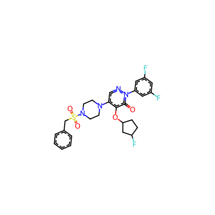 O=c1c(OC2CCC(F)C2)c(N2CCN(S(=O)(=O)Cc3ccccc3)CC2)cnn1-c1cc(F)cc(F)c1